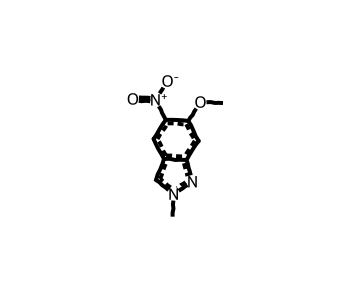 COc1cc2nn(C)cc2cc1[N+](=O)[O-]